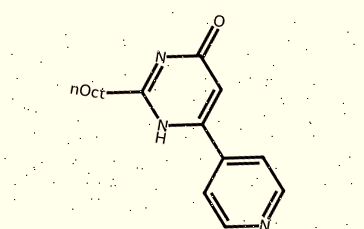 CCCCCCCCc1nc(=O)cc(-c2ccncc2)[nH]1